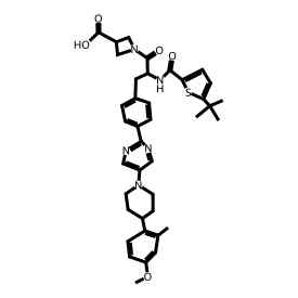 COc1ccc(C2CCN(c3cnc(-c4ccc(CC(NC(=O)c5ccc(C(C)(C)C)s5)C(=O)N5CC(C(=O)O)C5)cc4)nc3)CC2)c(C)c1